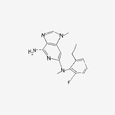 CCc1cccc(F)c1N(C)c1cc2c(ncn2C)c(N)n1